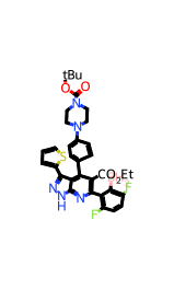 Bc1c(F)ccc(F)c1-c1nc2[nH]nc(-c3cccs3)c2c(-c2ccc(N3CCN(C(=O)OC(C)(C)C)CC3)cc2)c1C(=O)OCC